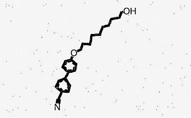 N#Cc1ccc(-c2ccc(OCCCCCCCCCCO)cc2)cc1